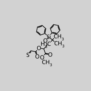 COC(=O)C(CO[Si](c1ccccc1)(c1ccccc1)C(C)(C)C)OC(=O)C=S